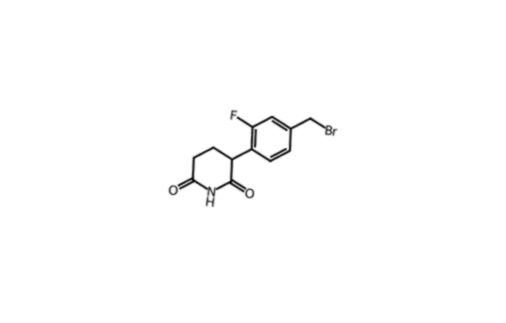 O=C1CCC(c2ccc(CBr)cc2F)C(=O)N1